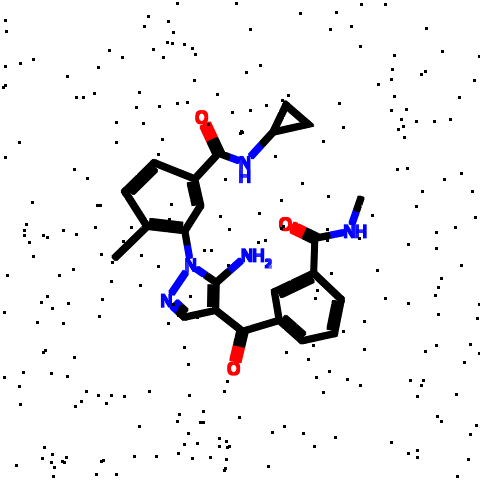 CNC(=O)c1cccc(C(=O)c2cnn(-c3cc(C(=O)NC4CC4)ccc3C)c2N)c1